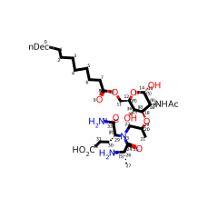 CCCCCCCCCCCCCCCCCC(=O)OC[C@H]1O[C@H](O)[C@H](NC(C)=O)[C@@H](OC(C)CN(C(=O)[C@H](C)N)[C@H](CCC(=O)O)C(N)=O)[C@@H]1O